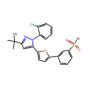 CC(C)S(=O)(=O)c1cccc(-c2ccc(-c3cc(C(C)(C)C#N)nn3-c3ccccc3Cl)s2)c1